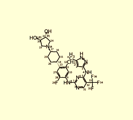 Cc1cc(Nc2nc(Nc3cc(C)c([C@H]4CC[C@H](N5C[C@@H](O)[C@H](O)C5)CC4)cc3F)ncc2C(F)(F)F)n[nH]1